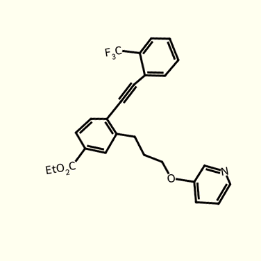 CCOC(=O)c1ccc(C#Cc2ccccc2C(F)(F)F)c(CCCOc2cccnc2)c1